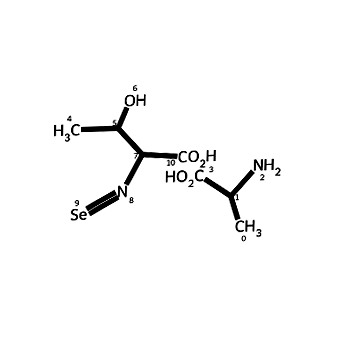 CC(N)C(=O)O.CC(O)C(N=[Se])C(=O)O